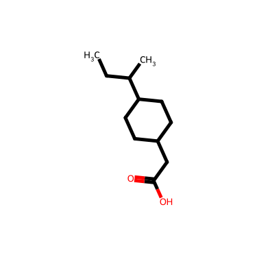 CCC(C)C1CCC(CC(=O)O)CC1